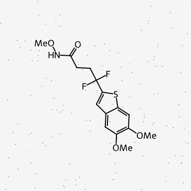 CONC(=O)CCC(F)(F)c1cc2cc(OC)c(OC)cc2s1